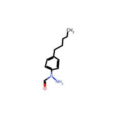 CCCCCc1ccc(N(N)C=O)cc1